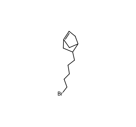 BrCCCCCC1CC2=CCC1C2